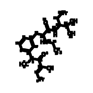 CC(C)C=C(C#N)C(=O)N(C)c1cccc(CC(NCC(F)(F)F)C(=O)NC(CC(C)C)B(O)O)c1